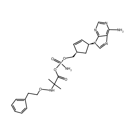 CC(C)(NOCCc1ccccc1)C(=O)OP(N)(=O)OC[C@H]1C=C[C@@H](n2cnc3c(N)ncnc32)C1